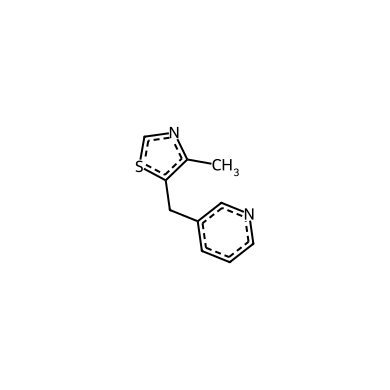 Cc1ncsc1Cc1cccnc1